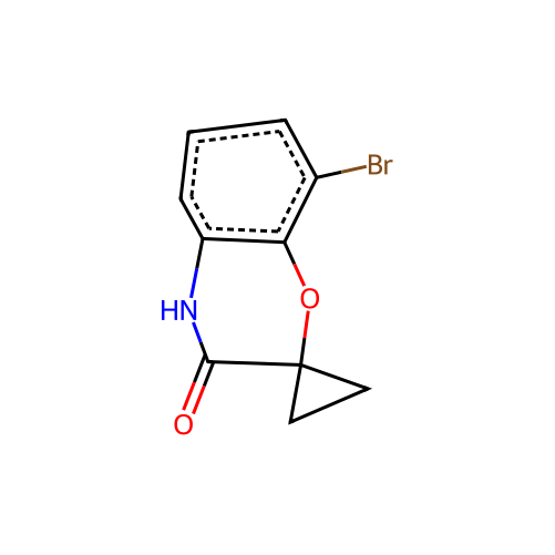 O=C1Nc2cccc(Br)c2OC12CC2